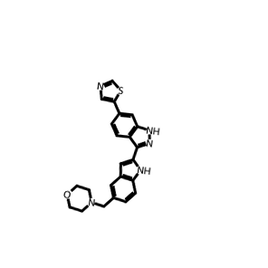 c1ncc(-c2ccc3c(-c4cc5cc(CN6CCOCC6)ccc5[nH]4)n[nH]c3c2)s1